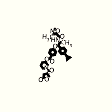 Cc1ncoc1C(=O)NC(C)C(Oc1ccc(C(=O)O[C@H]2CCCN(C(=O)[C@H]3COC(=O)C3)C2)cc1)c1ccc(C2CC2)cc1